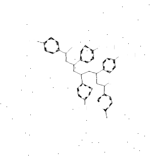 CCC(CC(CC(CC(CC(C)c1ccc(S(=O)(=O)O)cc1)c1ccc(S(=O)(=O)O)cc1)c1ccc(S(=O)(=O)O)cc1)c1ccc(S(=O)(=O)O)cc1)c1ccc(C)cc1